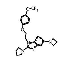 FC(F)(F)Oc1ccc(OCCn2c(N3CCCC3)nc3cc(N4CCC4)ccc32)cc1